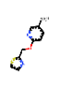 O=C(O)c1ccc(OCc2nccs2)nc1